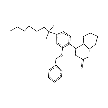 CCCCCCC(C)(C)c1ccc(C2CC(=O)CC3CCCCC32)c(OCc2ccccc2)c1